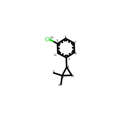 CC1(C)[CH]C1c1cccc(Cl)c1